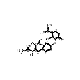 Cc1ccc2c(c1Oc1cc(F)ccc1C(F)F)N(C)C(=O)[C@H](NC(N)=O)C2